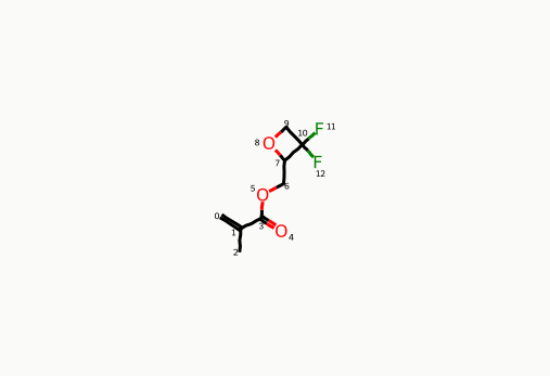 C=C(C)C(=O)OCC1OCC1(F)F